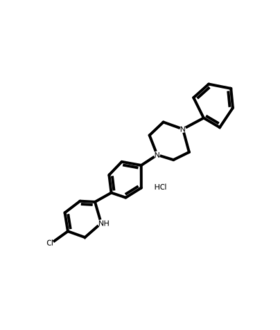 Cl.ClC1=CC=C(c2ccc(N3CCN(c4ccccc4)CC3)cc2)N[CH]1